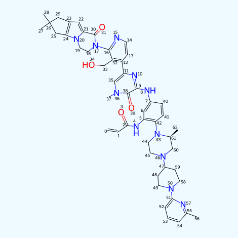 C=CC(=O)Nc1cc(Nc2nc(-c3ccnc(N4CCn5c(cc6c5CC(C)(C)C6)C4=O)c3CO)cn(C)c2=O)ccc1N1CCN(C2CCN(c3cccc(C)n3)CC2)C[C@@H]1C